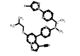 CC(C)COc1cc(-c2ccc(N(C)[C@@H](C)c3ccc(-n4cc(F)cn4)nc3)nc2)c2c(C#N)cnn2c1